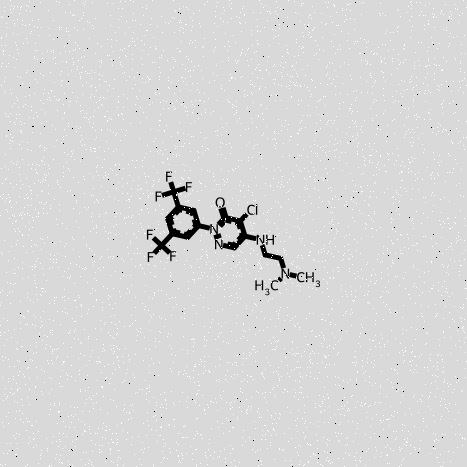 CN(C)CCNc1cnn(-c2cc(C(F)(F)F)cc(C(F)(F)F)c2)c(=O)c1Cl